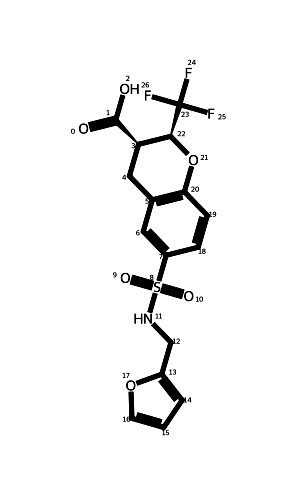 O=C(O)[C@@H]1Cc2cc(S(=O)(=O)NCc3ccco3)ccc2O[C@@H]1C(F)(F)F